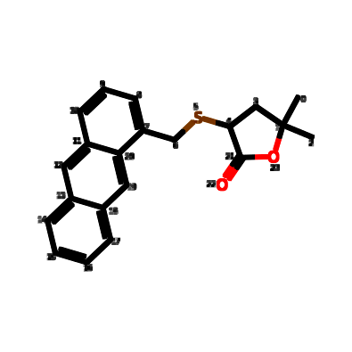 CC1(C)CC(SCc2cccc3cc4ccccc4cc23)C(=O)O1